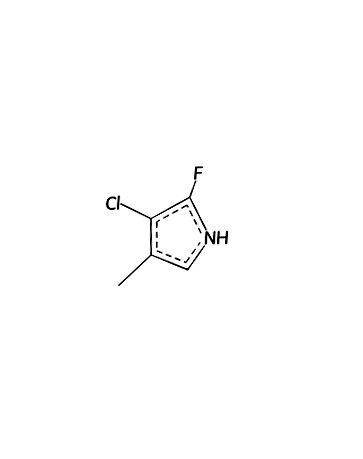 Cc1c[nH]c(F)c1Cl